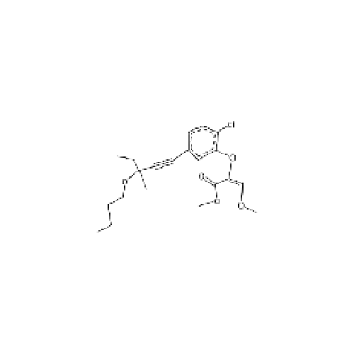 CCCCOC(C)(C#Cc1ccc(Cl)c(OC(=COC)C(=O)OC)c1)CC